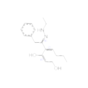 CCC/C=C(C(\O)=C/CO)/C(Cc1ccccc1)=N/NCC